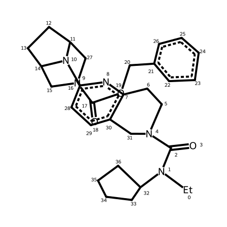 CCN(C(=O)N1CCc2nc(N3C4CCC3CN(C(=O)OCc3ccccc3)C4)ccc2C1)C1CCCC1